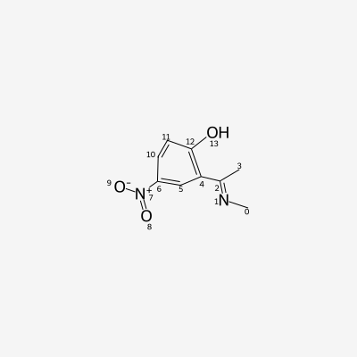 C/N=C(\C)c1cc([N+](=O)[O-])ccc1O